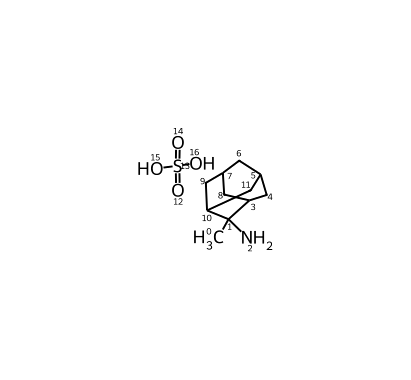 CC1(N)C2CC3CC(C2)CC1C3.O=S(=O)(O)O